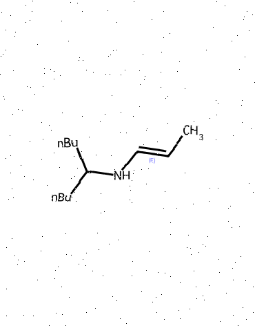 C/C=C/NC(CCCC)CCCC